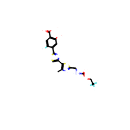 Cc1nc(CNC(=O)OCC(F)(F)F)sc1-c1csc(-c2cc(O)c(C(=O)O)cc2F)n1